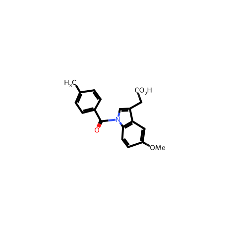 COc1ccc2c(c1)c(CC(=O)O)cn2C(=O)c1ccc(C)cc1